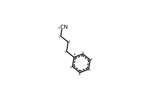 N#CCCCc1cc[c]cc1